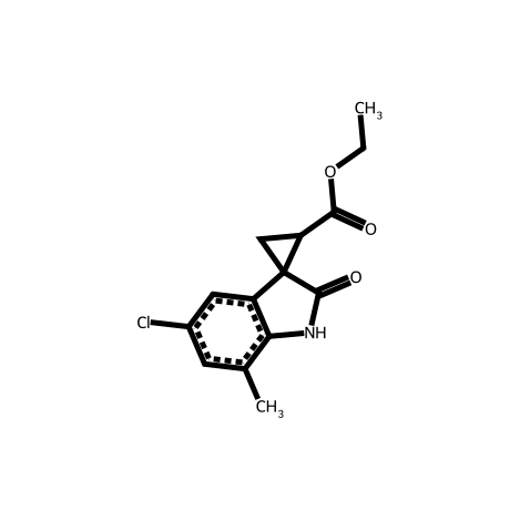 CCOC(=O)C1CC12C(=O)Nc1c(C)cc(Cl)cc12